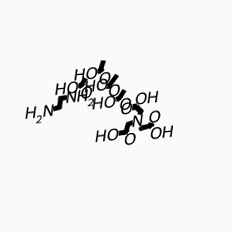 CC(=O)O.CC(=O)O.CC(=O)O.CC(=O)O.NCCN.O=C(O)CN(CC(=O)O)CC(=O)O